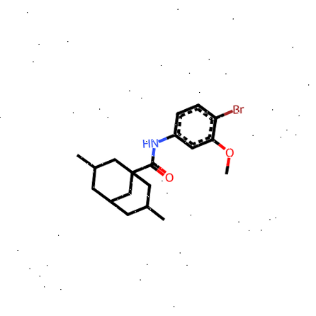 COc1cc(NC(=O)C23CC(C)CC(CC(C)C2)C3)ccc1Br